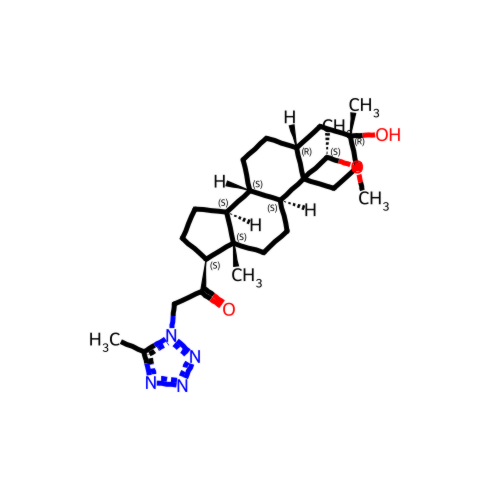 CO[C@@H](C)C12CC[C@@](C)(O)C[C@H]1CC[C@@H]1[C@@H]2CC[C@]2(C)[C@@H](C(=O)Cn3nnnc3C)CC[C@@H]12